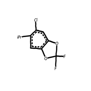 CC(C)c1cc2c(cc1Cl)OC(F)(F)O2